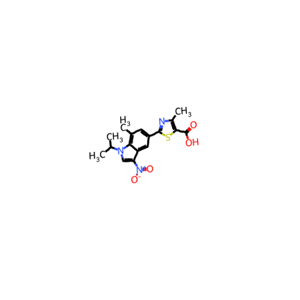 Cc1nc(-c2cc(C)c3c(c2)c([N+](=O)[O-])cn3C(C)C)sc1C(=O)O